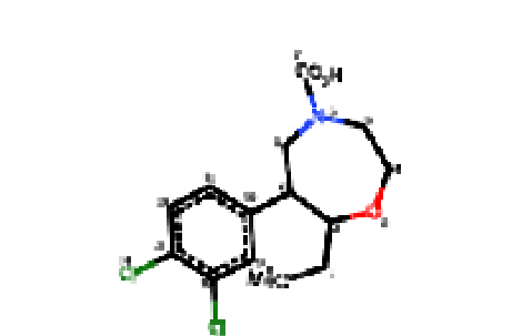 COCC1OCCN(C(=O)O)CC1c1ccc(Cl)c(Cl)c1